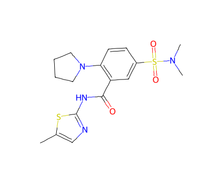 Cc1cnc(NC(=O)c2cc(S(=O)(=O)N(C)C)ccc2N2CCCC2)s1